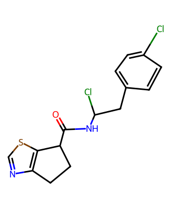 O=C(NC(Cl)Cc1ccc(Cl)cc1)C1CCc2ncsc21